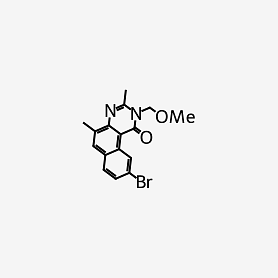 COCn1c(C)nc2c(C)cc3ccc(Br)cc3c2c1=O